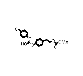 COC(=O)OCCc1ccc(OB(O)Oc2ccc(Cl)cc2)cc1